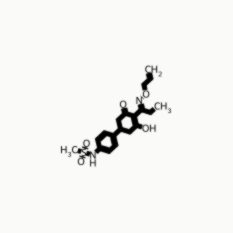 C=CCON=C(CC)C1=C(O)CC(c2ccc(NS(C)(=O)=O)cc2)CC1=O